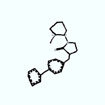 C[C@H]1CCCC[C@H]1N1CCC(Cc2ccc(-c3ccccc3)cc2)C1=O